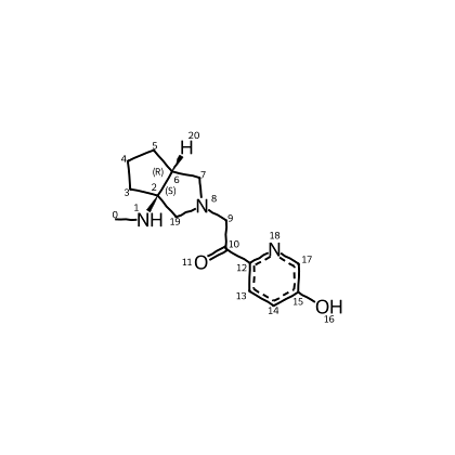 CN[C@@]12CCC[C@@H]1CN(CC(=O)c1ccc(O)cn1)C2